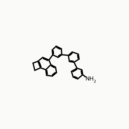 Nc1cccc(-c2cccc(-c3cccc(-c4cc5c(c6ccccc46)CC5)c3)c2)c1